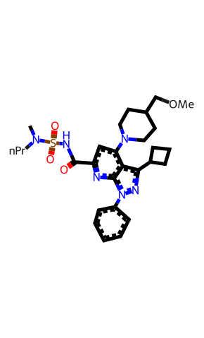 CCCN(C)S(=O)(=O)NC(=O)c1cc(N2CCC(COC)CC2)c2c(C3CCC3)nn(-c3ccccc3)c2n1